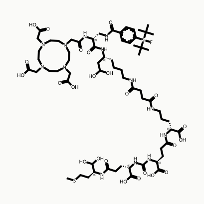 CSCC[C@H](NC(=O)CC[C@H](NC(=O)N[C@@H](CCC(=O)N[C@H](CCCNC(=O)CCC(=O)NCCCC[C@H](CC(O)O)NC(=O)[C@@H](CNC(=O)c1ccc([Si](F)(C(C)(C)C)C(C)(C)C)cc1)NC(=O)CN1CCN(CC(=O)O)CCN(CC(=O)O)CCN(CC(=O)O)CC1)C(=O)O)C(=O)O)C(=O)O)C(O)O